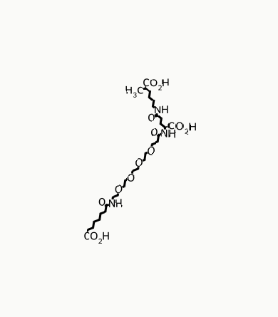 C[C@@H](CCCCNC(=O)CC[C@H](NC(=O)CCOCCOCCOCCOCCNC(=O)CCCCCCC(=O)O)C(=O)O)C(=O)O